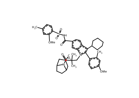 COc1ccc(-c2c(C3CCCCC3)c3ccc(C(=O)NS(=O)(=O)c4ccc(C)cc4OC)cc3n2CC(C)(C)C(=O)N2C3CCC2CN(C)C3)c(C)c1